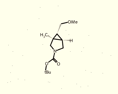 COC[C@@H]1[C@H]2CN(C(=O)OC(C)(C)C)C[C@@]12C